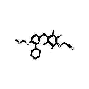 COCOc1ccc(Cc2c(C)c(F)c(OCC#N)c(F)c2C)nc1C1CCCCC1